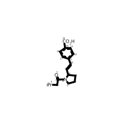 CC(C)CC(=O)N1CCCC1/C=C/c1ccc(C(=O)O)cc1